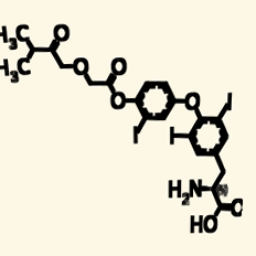 CC(C)C(=O)COCC(=O)Oc1ccc(Oc2c(I)cc(C[C@H](N)C(=O)O)cc2I)cc1I